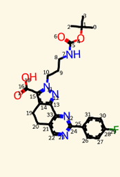 CC(C)(C)OC(=O)NCCCn1nc2c(c1C(=O)O)CCc1cnc(-c3ccc(F)cc3)nc1-2